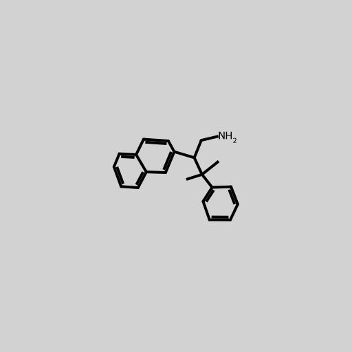 CC(C)(c1ccccc1)C(CN)c1ccc2ccccc2c1